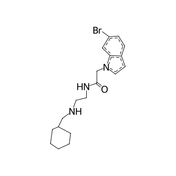 O=C(Cn1ccc2ccc(Br)cc21)NCCNCC1CCCCC1